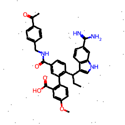 CCC(c1ccc(C(=O)NCc2ccc(C(C)=O)cc2)cc1-c1ccc(OC)cc1C(=O)O)c1c[nH]c2cc(C(=N)N)ccc12